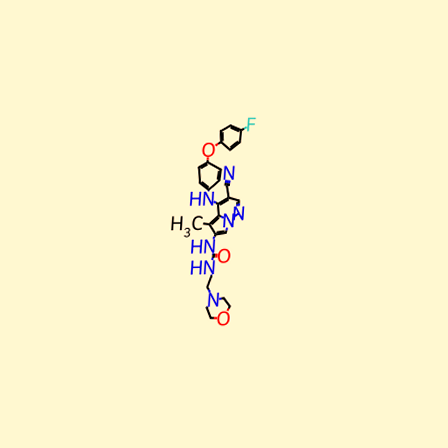 Cc1c(NC(=O)NCCN2CCOCC2)cn2ncc(C#N)c(Nc3ccc(Oc4ccc(F)cc4)cc3)c12